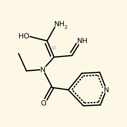 CCN(C(=O)c1ccncc1)/C(C=N)=C(/N)O